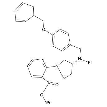 CCN(Cc1ccc(OCc2ccccc2)cc1)[C@@H]1CCN(c2ncccc2C(=O)OC(C)C)C1